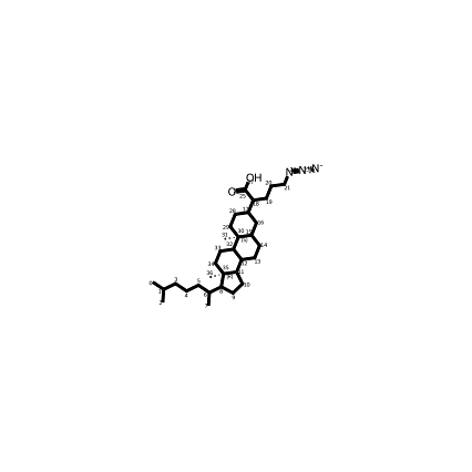 CC(C)CCCC(C)C1CCC2C3CCC4CC(C(CCCN=[N+]=[N-])C(=O)O)CC[C@]4(C)C3CC[C@]12C